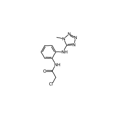 Cn1nnnc1Nc1ccccc1NC(=O)CCl